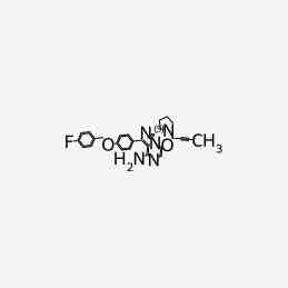 CC#CC(=O)N1CCC[C@H]1c1nc(-c2ccc(OCc3ccc(F)cc3)cc2)c2c(N)nccn12